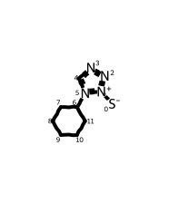 [S-][n+]1nncn1C1CCCCC1